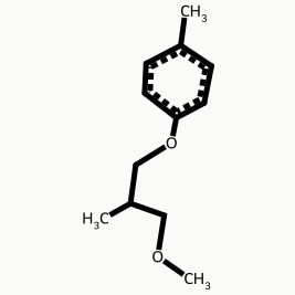 COCC(C)COc1ccc(C)cc1